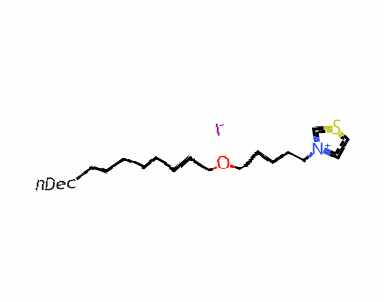 CCCCCCCCCCCCCCCCCCOCCCCC[n+]1ccsc1.[I-]